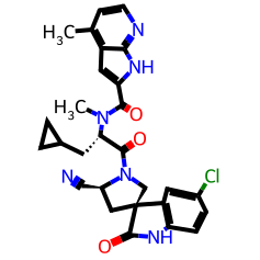 Cc1ccnc2[nH]c(C(=O)N(C)[C@@H](CC3CC3)C(=O)N3C[C@]4(C[C@H]3C#N)C(=O)Nc3ccc(Cl)cc34)cc12